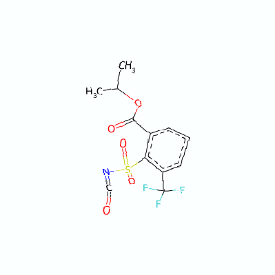 CC(C)OC(=O)c1cccc(C(F)(F)F)c1S(=O)(=O)N=C=O